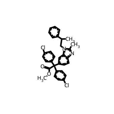 COC(=O)C(c1ccc(Cl)cc1)(c1ccc(Cl)cc1)c1ccc2nc(C)n(CC(C)c3ccccc3)c2c1